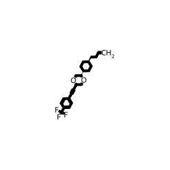 C=CCC[C@H]1CC[C@H](C2COC(C#Cc3ccc(C(F)(F)F)cc3)CO2)CC1